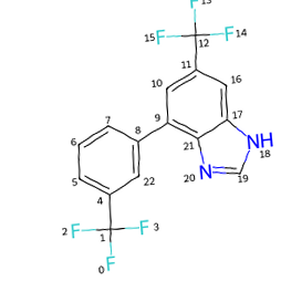 FC(F)(F)c1cccc(-c2cc(C(F)(F)F)cc3[nH]cnc23)c1